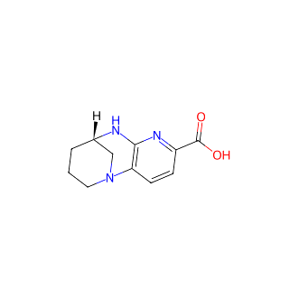 O=C(O)c1ccc2c(n1)N[C@H]1CCCN2C1